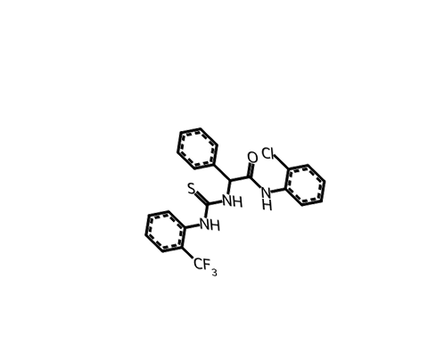 O=C(Nc1ccccc1Cl)C(NC(=S)Nc1ccccc1C(F)(F)F)c1ccccc1